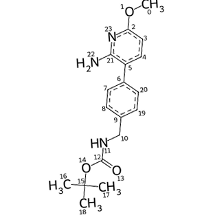 COc1ccc(-c2ccc(CNC(=O)OC(C)(C)C)cc2)c(N)n1